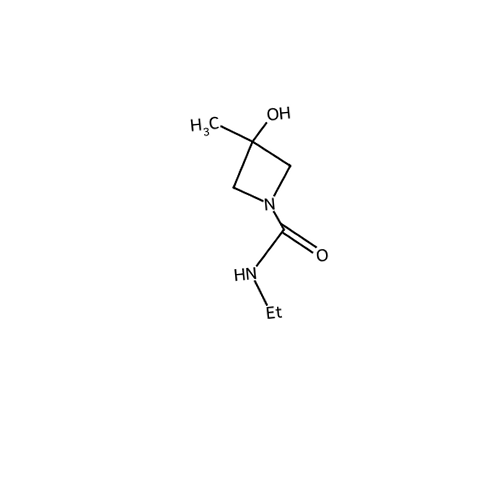 CCNC(=O)N1CC(C)(O)C1